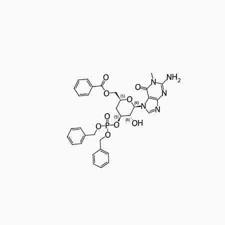 Cn1c(N)nc2ncn([C@@H]3O[C@H](COC(=O)c4ccccc4)C[C@H](OP(=O)(OCc4ccccc4)OCc4ccccc4)[C@H]3O)c2c1=O